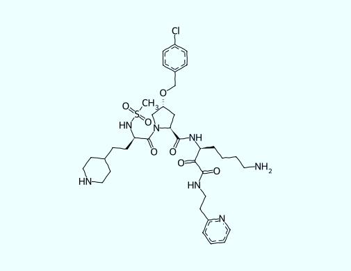 CS(=O)(=O)N[C@H](CCC1CCNCC1)C(=O)N1C[C@H](OCc2ccc(Cl)cc2)C[C@H]1C(=O)N[C@@H](CCCCN)C(=O)C(=O)NCCc1ccccn1